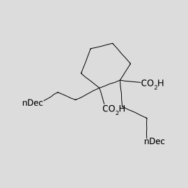 CCCCCCCCCCCCC1(C(=O)O)CCCCC1(CCCCCCCCCCCC)C(=O)O